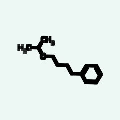 CC(C)OCCCCc1ccccc1